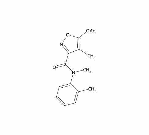 CC(=O)Oc1onc(C(=O)N(C)c2ccccc2C)c1C